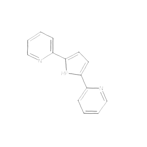 c1ccc(-c2ccc(-c3ccccn3)[pH]2)nc1